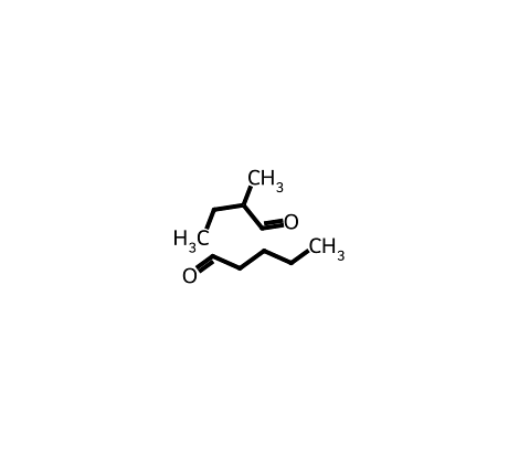 CCC(C)C=O.CCCCC=O